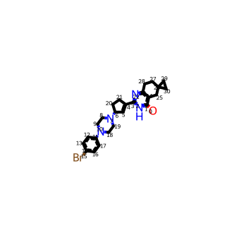 O=c1[nH]c(C2=CC(N3CCN(c4ccc(Br)cc4)CC3)CC2)nc2c1CC1(CC2)CC1